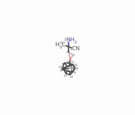 CC(N)(C#N)CO[C]12[CH]3[CH]4[CH]5[CH]1[Fe]45321678[CH]2[CH]1[CH]6[CH]7[CH]28